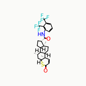 C[C@H]1C[C@H]2SC(=O)C=C[C@]2(C)[C@H]2CC[C@]3(C)[C@@H](C(=O)Nc4cccc(C(F)(F)F)c4C(F)(F)F)CC[C@H]3[C@H]12